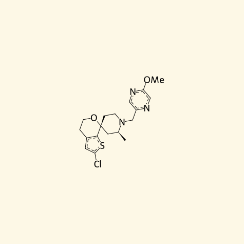 COc1cnc(CN2CC[C@]3(C[C@@H]2C)OCCc2cc(Cl)sc23)cn1